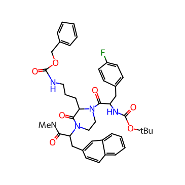 CNC(=O)C(Cc1ccc2ccccc2c1)N1CCN(C(=O)C(Cc2ccc(F)cc2)NC(=O)OC(C)(C)C)C(CCCNC(=O)OCc2ccccc2)C1=O